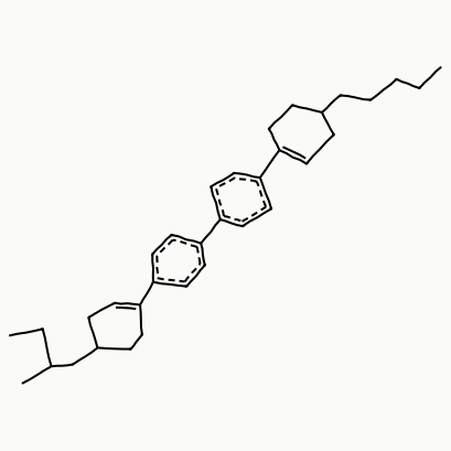 CCCCCC1CC=C(c2ccc(-c3ccc(C4=CCC(CC(C)CC)CC4)cc3)cc2)CC1